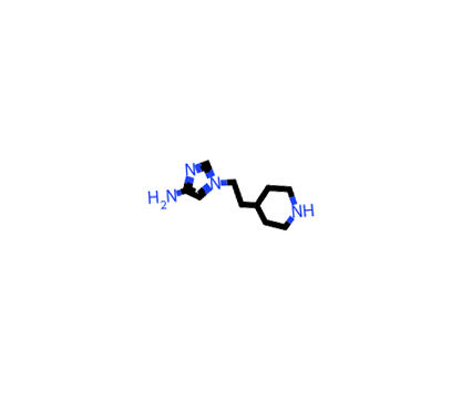 Nc1cn(CCC2CCNCC2)cn1